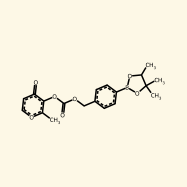 Cc1occc(=O)c1OC(=O)OCc1ccc(B2OC(C)C(C)(C)O2)cc1